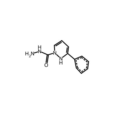 NNC(=O)N1C=CC=C(c2ccccc2)N1